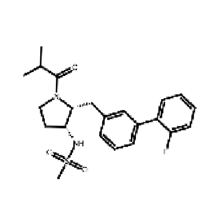 CC(C)C(=O)N1CC[C@@H](NS(C)(=O)=O)[C@H]1Cc1cccc(-c2ccccc2F)c1